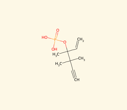 C#CC(C)(C)C(C)(C=C)OP(=O)(O)O